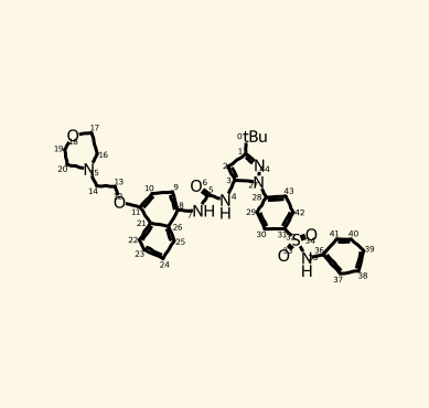 CC(C)(C)c1cc(NC(=O)Nc2ccc(OCCN3CCOCC3)c3ccccc23)n(-c2ccc(S(=O)(=O)Nc3ccccc3)cc2)n1